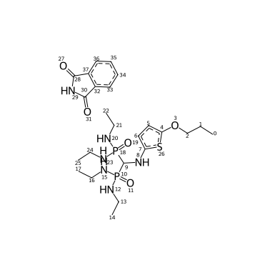 CCCOc1ccc(NC(P(=O)(NCC)NCC)P(=O)(NCC)NCC)s1.O=C1NC(=O)c2ccccc21